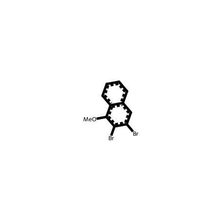 COc1c(Br)c(Br)cc2ccccc12